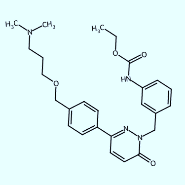 CCOC(=O)Nc1cccc(Cn2nc(-c3ccc(COCCCN(C)C)cc3)ccc2=O)c1